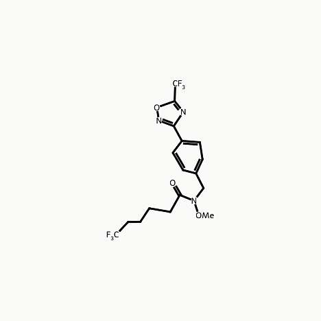 CON(Cc1ccc(-c2noc(C(F)(F)F)n2)cc1)C(=O)CCCCC(F)(F)F